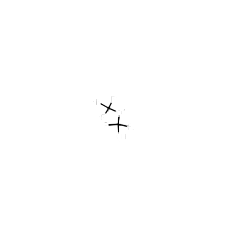 CC(F)(F)OC(F)(F)F